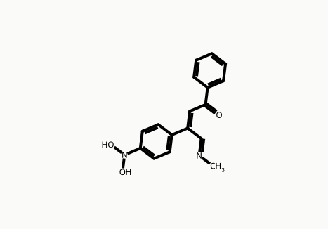 C/N=C/C(=C\C(=O)c1ccccc1)c1ccc(N(O)O)cc1